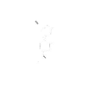 C#C[C@@H]1CCC[C@@H](N2CCN(C(=O)OC(C)(C)C)CC2)C1